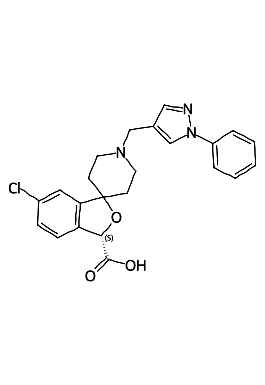 O=C(O)[C@H]1OC2(CCN(Cc3cnn(-c4ccccc4)c3)CC2)c2cc(Cl)ccc21